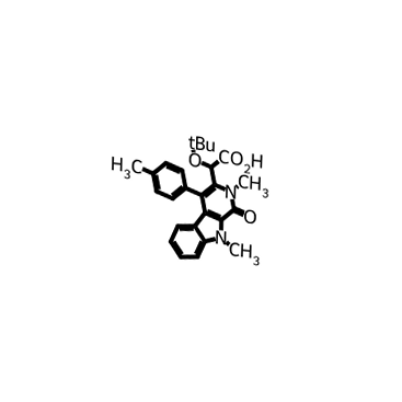 Cc1ccc(-c2c(C(OC(C)(C)C)C(=O)O)n(C)c(=O)c3c2c2ccccc2n3C)cc1